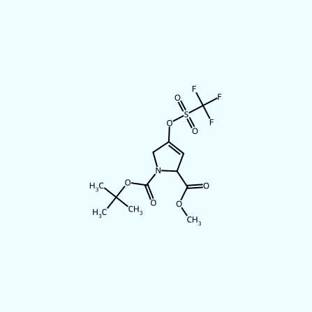 COC(=O)C1C=C(OS(=O)(=O)C(F)(F)F)CN1C(=O)OC(C)(C)C